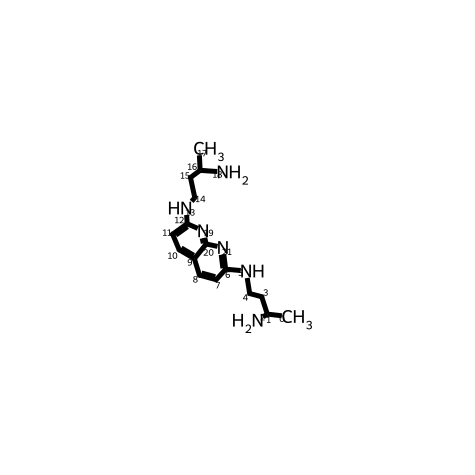 CC(N)CCNc1ccc2ccc(NCCC(C)N)nc2n1